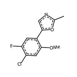 COc1cc(Cl)c(F)cc1-c1cnc(C)o1